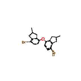 CC1Cc2c(Br)ccc(Oc3ccc(Br)c4c3CC(C)C4)c2C1